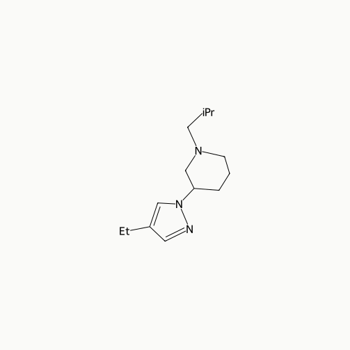 CCc1cnn(C2CCCN(CC(C)C)C2)c1